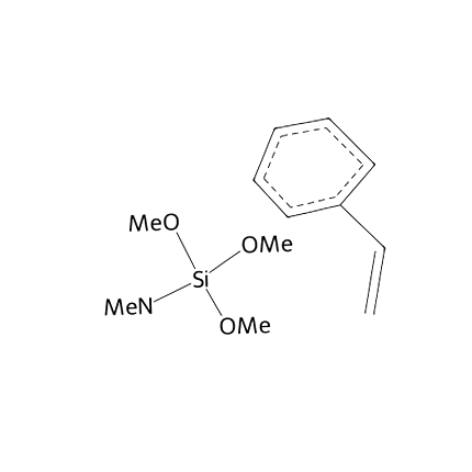 C=Cc1ccccc1.CN[Si](OC)(OC)OC